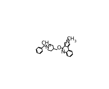 CC(c1ccccc1)N1CCC(COc2nc3ccccc3c3cn(C)cc23)CC1